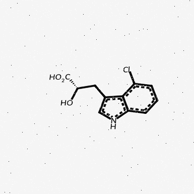 O=C(O)[C@@H](O)Cc1c[nH]c2cccc(Cl)c12